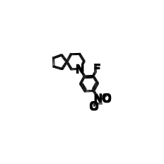 O=[N+]([O-])c1ccc(N2CCCC3(CCCC3)C2)c(F)c1